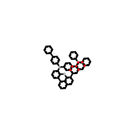 c1ccc(-c2ccc(N(c3ccc(-c4ccccc4)cc3)c3cccc4c3Oc3c(-c5ccc(N(c6ccccc6)c6ccccc6)cc5)ccc5cccc-4c35)cc2)cc1